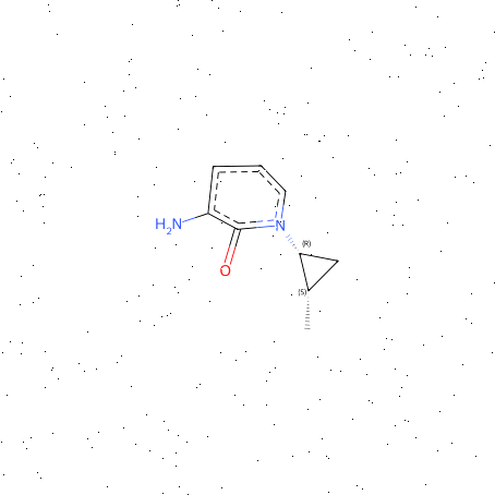 C[C@H]1C[C@H]1n1cccc(N)c1=O